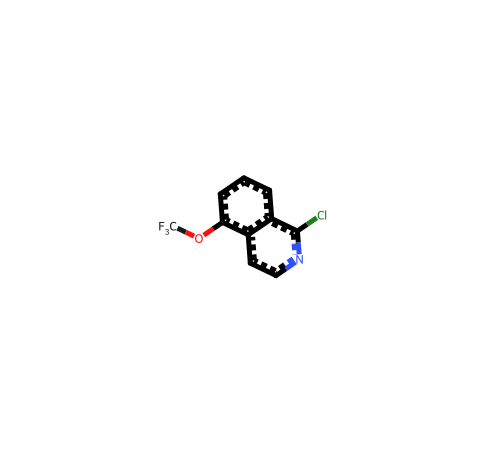 FC(F)(F)Oc1cccc2c(Cl)nccc12